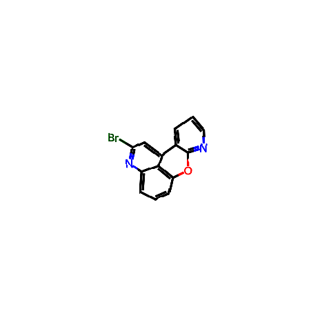 Brc1cc2c3c(cccc3n1)Oc1ncccc1-2